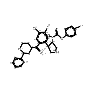 CN(C(=O)Oc1ccc(F)cc1)[C@@H]1CNC[C@@]1(C)c1cc(Cl)c(Cl)cc1C(=O)C1CCNC(c2ccccn2)C1